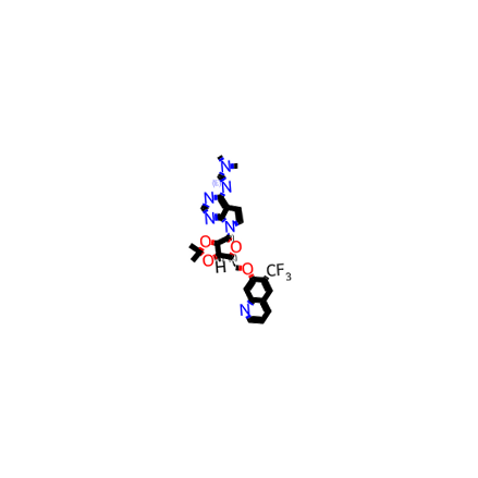 CN(C)/C=N/c1ncnc2c1ccn2[C@@H]1O[C@H](COc2cc3ncccc3cc2C(F)(F)F)[C@H]2OC(C)(C)OC12